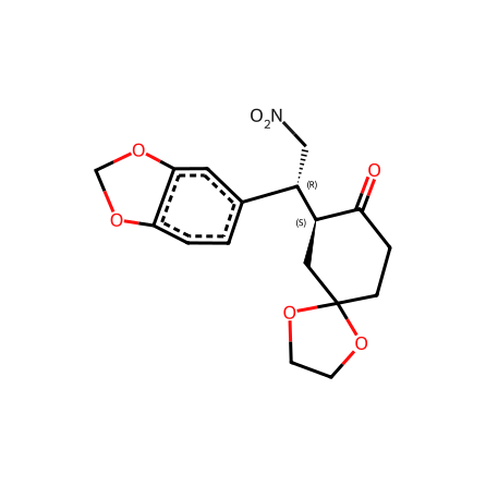 O=C1CCC2(C[C@H]1[C@@H](C[N+](=O)[O-])c1ccc3c(c1)OCO3)OCCO2